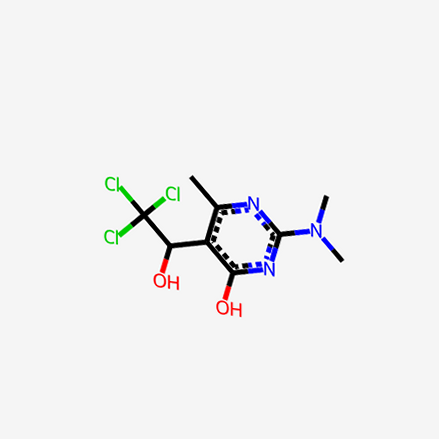 Cc1nc(N(C)C)nc(O)c1C(O)C(Cl)(Cl)Cl